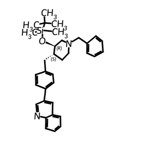 CC(C)(C)[Si](C)(C)O[C@H]1CN(Cc2ccccc2)CC[C@@H]1Cc1ccc(-c2cnc3ccccc3c2)cc1